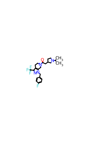 CC(C)N1CCC(CC(=O)N2CCc3c(C(F)(F)F)nn(Cc4ccc(F)cc4)c3C2)C1